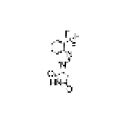 O=C1CC(N2C=Nc3c(cccc3C(F)(F)F)C2)C(=O)N1